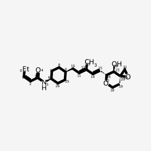 CC/C=C\C(=O)N[C@H]1CC[C@@H](C/C=C(C)/C=C/[C@H]2OCC[C@@]3(CO3)[C@@H]2O)CC1